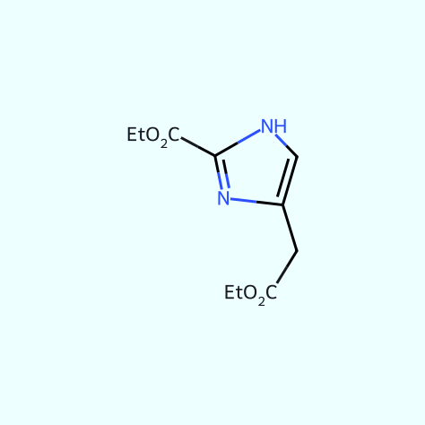 CCOC(=O)Cc1c[nH]c(C(=O)OCC)n1